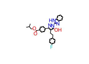 CC(C)COC(=O)c1ccc(-c2nn(-c3nc4ccccc4[nH]3)c(O)c2CCc2ccc(F)cc2)cc1